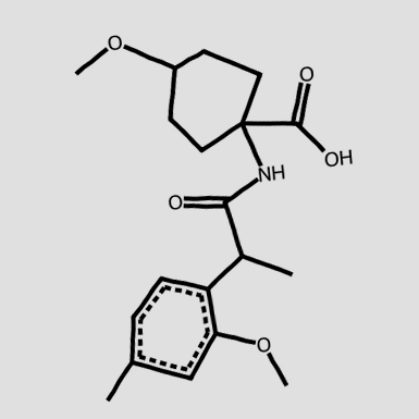 COc1cc(C)ccc1C(C)C(=O)NC1(C(=O)O)CCC(OC)CC1